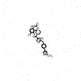 Cn1cc(-c2ccc(Cc3nnc(C(=O)N4CCC[C@@]5(C4)OC(=O)Nc4ccc(Cl)c(F)c45)[nH]3)cc2)cn1